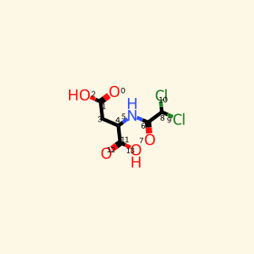 O=C(O)CC(NC(=O)C(Cl)Cl)C(=O)O